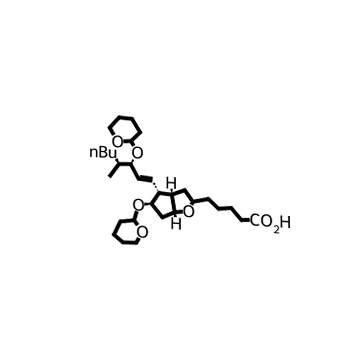 CCCC[C@H](C)[C@@H](/C=C/[C@@H]1[C@H]2CC(CCCCC(=O)O)O[C@@H]2C[C@H]1OC1CCCCO1)OC1CCCCO1